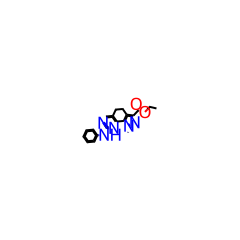 CCOC(=O)c1nn(C)c2c1CCc1cnc(Nc3ccccc3)nc1-2